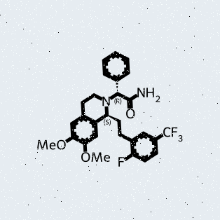 COc1cc2c(cc1OC)[C@H](CCc1cc(C(F)(F)F)ccc1F)N([C@@H](C(N)=O)c1ccccc1)CC2